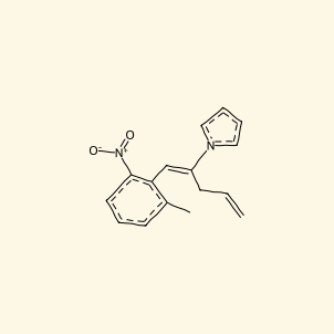 C=CCC(=Cc1c(C)cccc1[N+](=O)[O-])n1cccc1